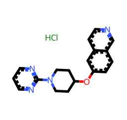 Cl.c1cnc(N2CCC(Oc3ccc4cnccc4c3)CC2)nc1